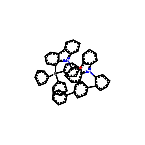 c1ccc(-c2ccc(-c3ccccc3-n3c4ccccc4c4c(-n5c6ccccc6c6cccc([Si](c7ccccc7)(c7ccccc7)c7ccccc7)c65)cccc43)cc2)cc1